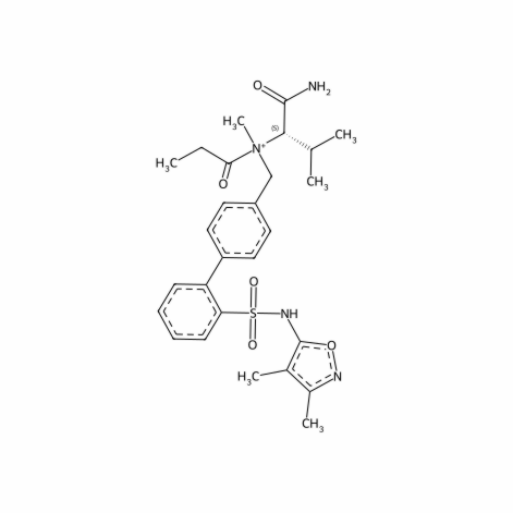 CCC(=O)[N+](C)(Cc1ccc(-c2ccccc2S(=O)(=O)Nc2onc(C)c2C)cc1)[C@H](C(N)=O)C(C)C